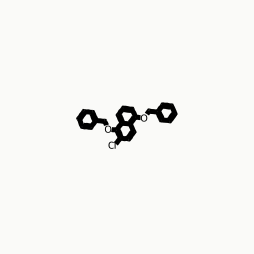 Clc1ccc2c(OCc3ccccc3)cccc2c1OCc1ccccc1